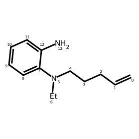 C=CCCCN(CC)c1ccccc1N